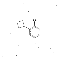 [O]c1ccccc1C1CCC1